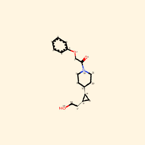 O=C(COc1ccccc1)N1CCC([C@@H]2C[C@@H]2CCO)CC1